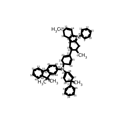 CC1Cc2c(c3c(n2-c2ccccc2)C=C[C@@H](C)C3)C=C1C1=CCC(N(C2=CCC(C)(c3ccccc3)C=C2)c2ccc3c(c2)C(C)(C)c2ccccc2-3)C=C1